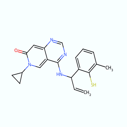 C=CC(Nc1ncnc2cc(=O)n(C3CC3)cc12)c1cccc(C)c1S